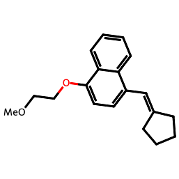 COCCOc1ccc(C=C2CCCC2)c2ccccc12